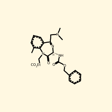 CCOC(=O)CN1C(=O)[C@@H](NC(=O)OCc2ccccc2)N=C(CN(C)C)c2cccc(C)c21